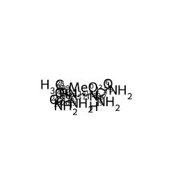 COc1cc(C(N)=O)cc(N)c1NCC=CCNc1c(N)cc(C(N)=O)c2oc(C)cc12